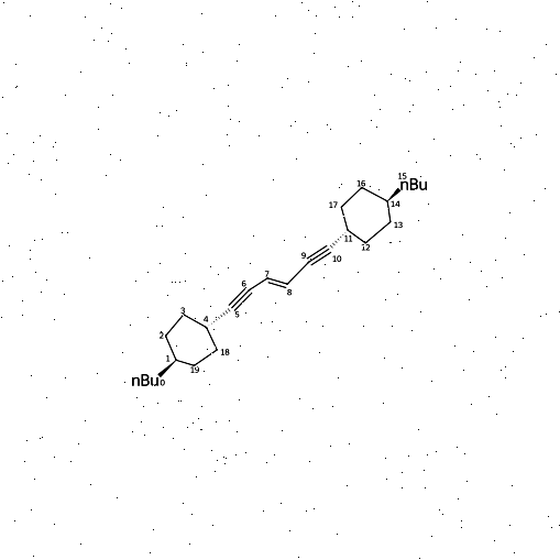 CCCC[C@H]1CC[C@H](C#C/C=C/C#C[C@H]2CC[C@H](CCCC)CC2)CC1